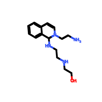 NCCN1C=Cc2ccccc2C1NCCNCCO